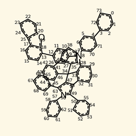 c1ccc(-c2ccc(N(c3ccc(-c4cccc5c4oc4ccccc45)cc3)c3cccc4c3C3(c5ccccc5-c5ccccc53)c3c-4c(-c4ccccc4)n(-c4ccccc4)c3-c3ccccc3)cc2)cc1